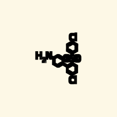 Nc1ccc(-c2cc(Cl)ccc2S(=O)(=O)c2ccc(Cl)cc2)cc1